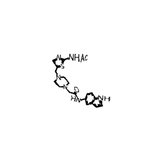 CC(=O)Nc1ncc(CN2CCN(CC(=O)Nc3ccc4[nH]ccc4c3)CC2)s1